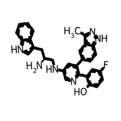 Cc1n[nH]c2ccc(-c3cc(NC[C@@H](N)Cc4c[nH]c5ccccc45)cnc3-c3cc(F)ccc3O)cc12